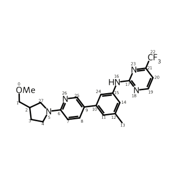 COCC1CCN(c2ccc(-c3cc(C)cc(Nc4nccc(C(F)(F)F)n4)c3)cn2)C1